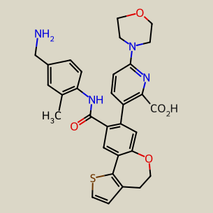 Cc1cc(CN)ccc1NC(=O)c1cc2c(cc1-c1ccc(N3CCOCC3)nc1C(=O)O)OCCc1ccsc1-2